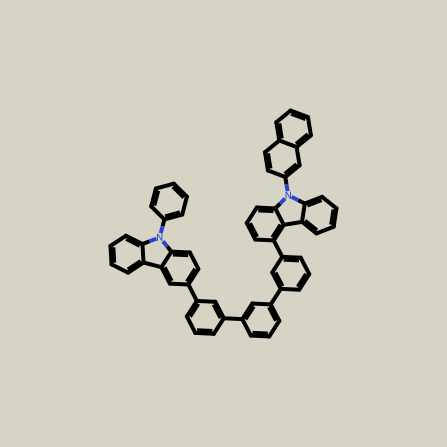 c1ccc(-n2c3ccccc3c3cc(-c4cccc(-c5cccc(-c6cccc(-c7cccc8c7c7ccccc7n8-c7ccc8ccccc8c7)c6)c5)c4)ccc32)cc1